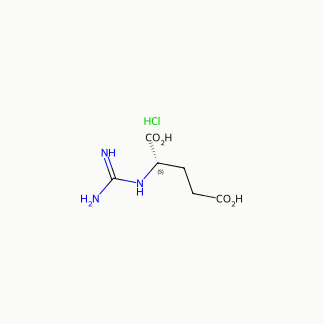 Cl.N=C(N)N[C@@H](CCC(=O)O)C(=O)O